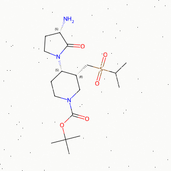 CC(C)S(=O)(=O)C[C@@H]1CN(C(=O)OC(C)(C)C)CC[C@@H]1N1CC[C@H](N)C1=O